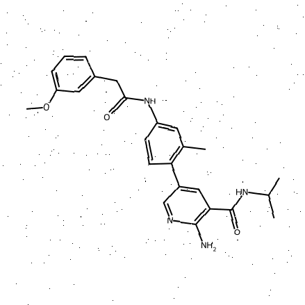 COc1cccc(CC(=O)Nc2ccc(-c3cnc(N)c(C(=O)NC(C)C)c3)c(C)c2)c1